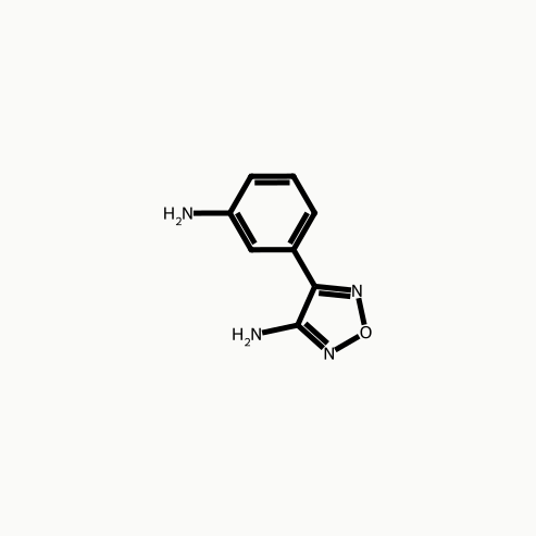 Nc1cccc(-c2nonc2N)c1